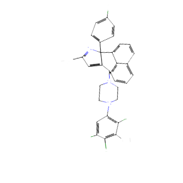 CC1=NC(c2ccc(Cl)cc2)(c2cccc3ccccc23)C(CN2CCN(c3cc(F)c(F)c(C)c3F)CC2)=C1